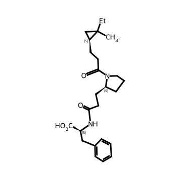 CCC1(C)C[C@@H]1CCC(=O)N1CCC[C@H]1CCC(=O)N[C@@H](Cc1ccccc1)C(=O)O